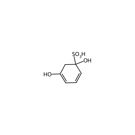 O=S(=O)(O)C1(O)C=CC=C(O)C1